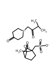 CC(C)C(=O)C[S+]1CCC(=O)CC1.CC1(C)C2CCC1(CS(=O)(=O)[O-])C(=O)C2